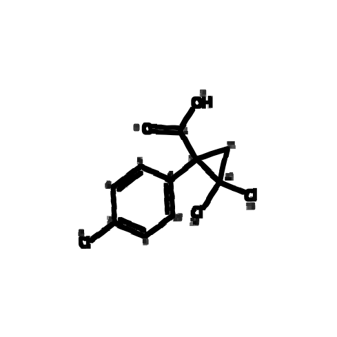 O=C(O)C1(c2ccc(Cl)cc2)CC1(Cl)Cl